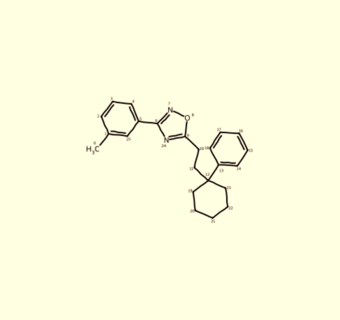 Cc1cccc(-c2noc(CCC3(c4ccccc4)CCCCC3)n2)c1